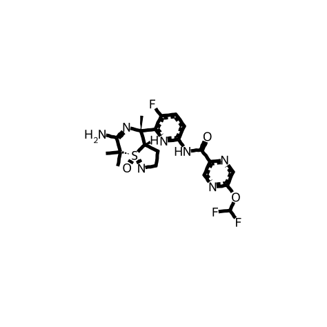 CC1(C)C(N)=N[C@](C)(c2nc(NC(=O)c3cnc(OC(F)F)cn3)ccc2F)[C@@H]2CCN=[S@@]21=O